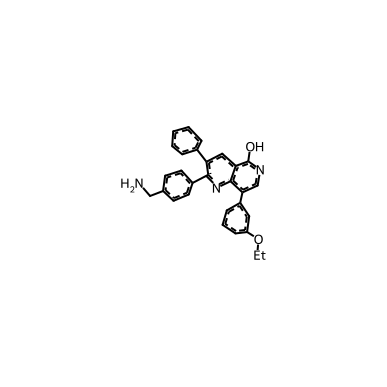 CCOc1cccc(-c2cnc(O)c3cc(-c4ccccc4)c(-c4ccc(CN)cc4)nc23)c1